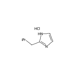 CC(C)Cc1ncc[nH]1.Cl